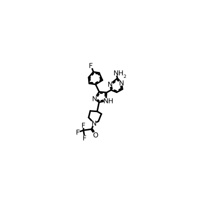 Nc1nccc(-c2[nH]c(C3CCN(C(=O)C(F)(F)F)CC3)nc2-c2ccc(F)cc2)n1